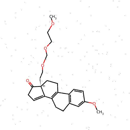 COCCOCOCC[C@]12CCC3=C(CCc4cc(OC)ccc43)C1=CCC2=O